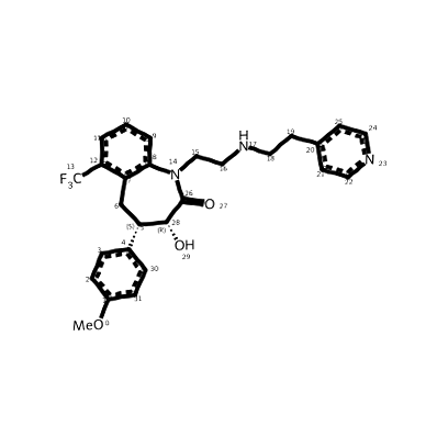 COc1ccc([C@@H]2Cc3c(cccc3C(F)(F)F)N(CCNCCc3ccncc3)C(=O)[C@@H]2O)cc1